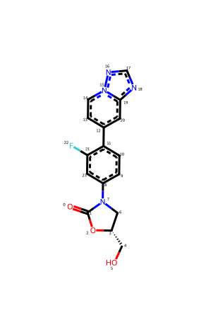 O=C1O[C@@H](CO)CN1c1ccc(-c2ccn3ncnc3c2)c(F)c1